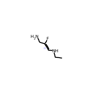 CCN/C=C(\F)CN